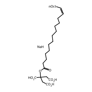 CCCCCCCC/C=C\CCCCCCCCCCCC(=O)OC(CC(=O)O)(CC(=O)O)C(=O)O.[NaH]